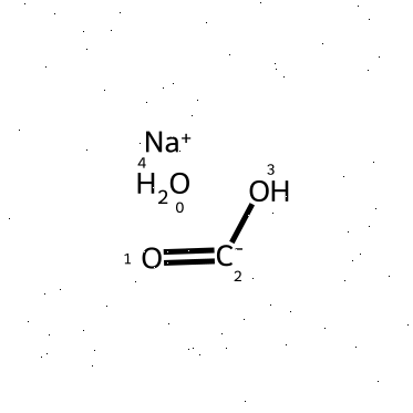 O.O=[C-]O.[Na+]